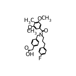 COc1cc(C(=O)N(CCCc2ccc(F)cc2)Cc2ccc(CC(=O)O)cc2)cc(OC)c1C